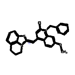 COc1ccc2c(/C=C3\Sc4cccc5c4N3CCC5)cc(Cl)[n+](Cc3ccccc3)c2c1